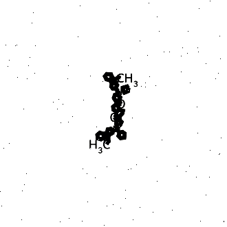 CCn1c2ccccc2c2ccc(N(c3ccccc3)c3ccc4c(c3)oc3c4ccc4c3ccc3c5ccc(N(c6ccccc6)c6ccc7c8ccccc8n(CC)c7c6)cc5oc34)cc21